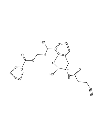 C#CCCC(=O)N[C@H]1Cc2cccc(C(O)OCOC(=O)c3ccccc3)c2OB1O